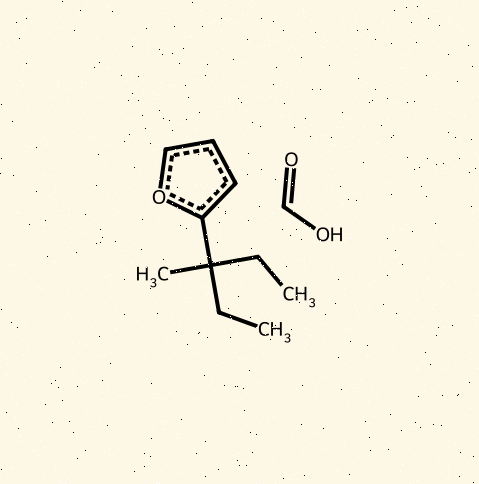 CCC(C)(CC)c1ccco1.O=CO